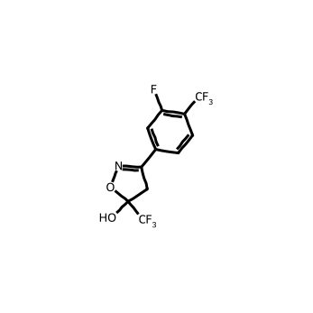 OC1(C(F)(F)F)CC(c2ccc(C(F)(F)F)c(F)c2)=NO1